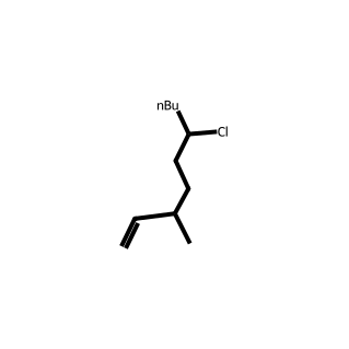 C=CC(C)CCC(Cl)CCCC